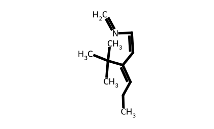 C=N/C=C\C(=C\CC)C(C)(C)C